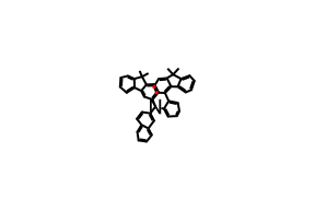 CC1(C)c2ccccc2-c2cc(N(c3ccc4ccccc4c3)c3ccccc3-c3cccc4c3-c3ccccc3C4(C)C)ccc21